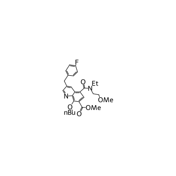 CCCCOc1c(C(=O)OC)cc(C(=O)N(CC)CCOC)c2cc(Cc3ccc(F)cc3)cnc12